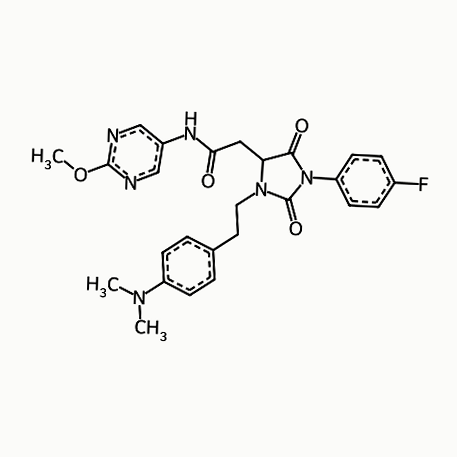 COc1ncc(NC(=O)CC2C(=O)N(c3ccc(F)cc3)C(=O)N2CCc2ccc(N(C)C)cc2)cn1